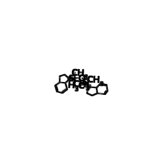 C[Si](C)(O[Si](C)(C)[C@@H]1CCC2C=CC=CC21)[C@@H]1CCC2C=CC=CC21